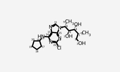 C[C@H](CO)[C@@H](O)[C@@H](O)[C@@H](C)n1cnc2c(NC3CCCC3)nc(Cl)nc21